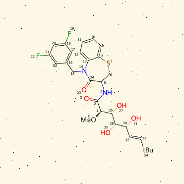 CO[C@@H](C(=O)NC1CSc2ccccc2N(Cc2cc(F)cc(F)c2)C1=O)[C@H](O)[C@@H](O)[C@H](O)/C=C/C(C)(C)C